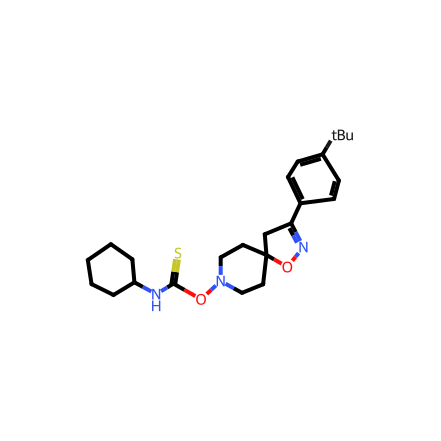 CC(C)(C)c1ccc(C2=NOC3(CCN(OC(=S)NC4CCCCC4)CC3)C2)cc1